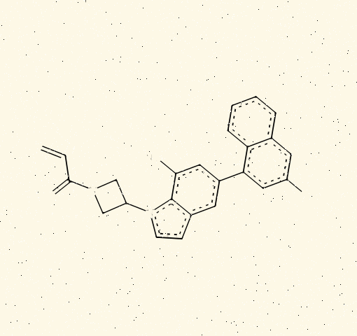 C=CC(=O)N1CC(n2ccc3cc(-c4cc(O)cc5ccccc45)cc(C#N)c32)C1